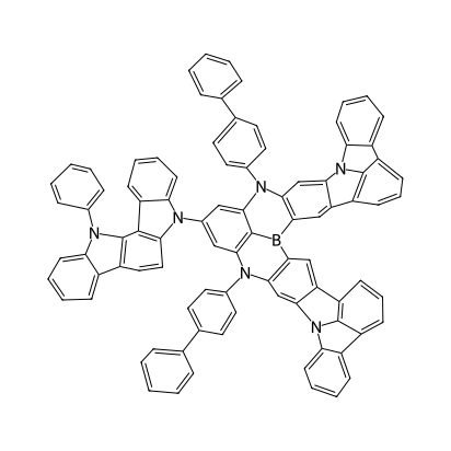 c1ccc(-c2ccc(N3c4cc5c(cc4B4c6cc7c8cccc9c%10ccccc%10n(c7cc6N(c6ccc(-c7ccccc7)cc6)c6cc(-n7c%10ccccc%10c%10c7ccc7c%11ccccc%11n(-c%11ccccc%11)c7%10)cc3c64)c98)c3cccc4c6ccccc6n5c43)cc2)cc1